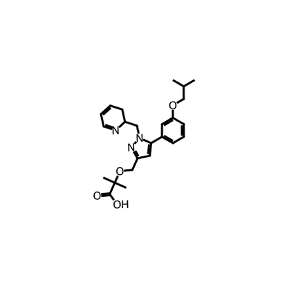 CC(C)COc1cccc(-c2cc(COC(C)(C)C(=O)O)nn2CC2CC=CC=N2)c1